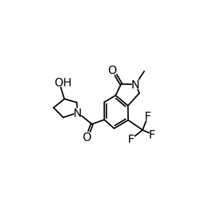 CN1Cc2c(cc(C(=O)N3CCC(O)C3)cc2C(F)(F)F)C1=O